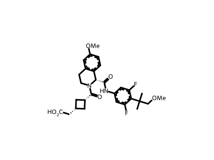 COCC(C)(C)c1c(F)cc(NC(=O)[C@H]2c3ccc(OC)cc3CCN2C(=O)[C@H]2C[C@@H](CC(=O)O)C2)cc1F